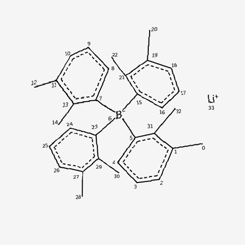 Cc1cccc([B-](c2cccc(C)c2C)(c2cccc(C)c2C)c2cccc(C)c2C)c1C.[Li+]